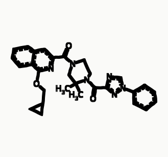 CC1(C)CN(C(=O)c2cc3ccccc3c(OCC3CC3)n2)CCN1C(=O)c1ncn(-c2ccccc2)n1